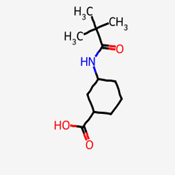 CC(C)(C)C(=O)NC1CCCC(C(=O)O)C1